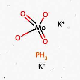 P.[K+].[K+].[O]=[Mo](=[O])([O-])[O-]